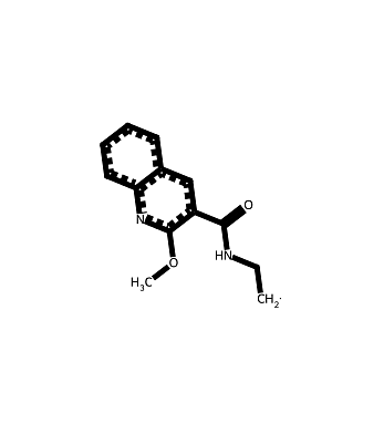 [CH2]CNC(=O)c1cc2ccccc2nc1OC